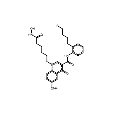 COc1ccc2c(c1)c(=O)c(C(=O)Nc1ccccc1CCCCF)cn2CCCCCC(=O)NO